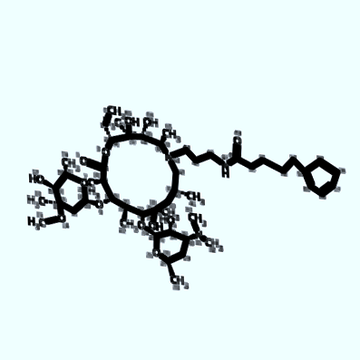 CC[C@H]1OC(=O)[C@H](C)[C@@H](O[C@H]2C[C@@](C)(OC)[C@@H](O)[C@H](C)O2)[C@H](C)[C@@H](O[C@@H]2O[C@H](C)C[C@H](N(C)C)[C@H]2O)[C@](C)(O)C[C@@H](C)CN(CCCNC(=O)CCCCc2ccccc2)[C@H](C)[C@@H](O)[C@]1(C)O